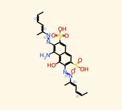 C\C=C/C=C(C)/N=N/c1c(S(=O)(=O)O)cc2cc(S(=O)(=O)O)c(/N=N/C(C)=C/C=C\C)c(O)c2c1N